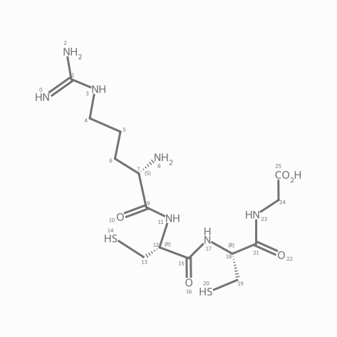 N=C(N)NCCC[C@H](N)C(=O)N[C@@H](CS)C(=O)N[C@@H](CS)C(=O)NCC(=O)O